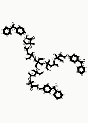 CCC(COC(C)(CC)CC(C)OC(C)(C)C(=O)COc1ccc(C(=O)c2ccccc2)cc1)(COC(C)(CC)CC(C)OC(C)(CC)C(=O)COc1ccc(C(=O)c2ccccc2)cc1)COC(C)(CC)CC(C)OC(C)(CC)C(=O)COc1ccc(C(=O)c2ccccc2)cc1